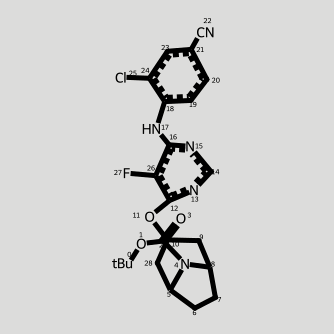 CC(C)(C)OC(=O)N1C2CCC1CC(Oc1ncnc(Nc3ccc(C#N)cc3Cl)c1F)C2